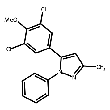 COc1c(Cl)cc(-c2cc(C(F)(F)F)nn2-c2ccccc2)cc1Cl